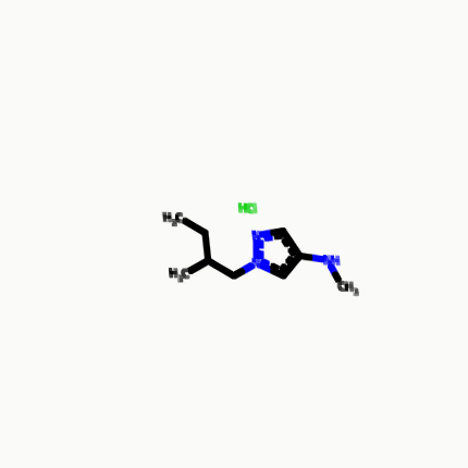 CCC(C)Cn1cc(NC)cn1.Cl